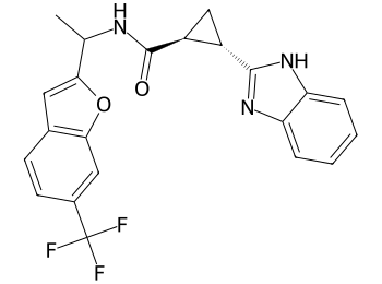 CC(NC(=O)[C@H]1C[C@@H]1c1nc2ccccc2[nH]1)c1cc2ccc(C(F)(F)F)cc2o1